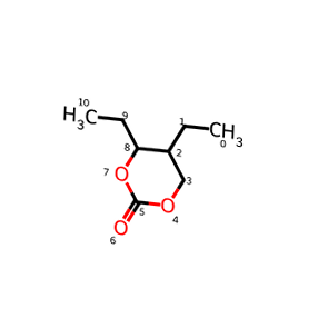 CCC1COC(=O)OC1CC